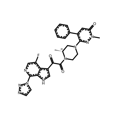 C[C@@H]1CN(c2nn(C)c(=O)cc2-c2ccccc2)CCN1C(=O)C(=O)c1c[nH]c2c(-n3ccnn3)ncc(F)c12